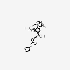 CC1(C)CCC(C)(C)c2cc(C(O)C#COC(=O)CCc3ccccc3)ccc21